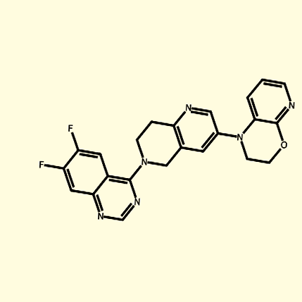 Fc1cc2ncnc(N3CCc4ncc(N5CCOc6ncccc65)cc4C3)c2cc1F